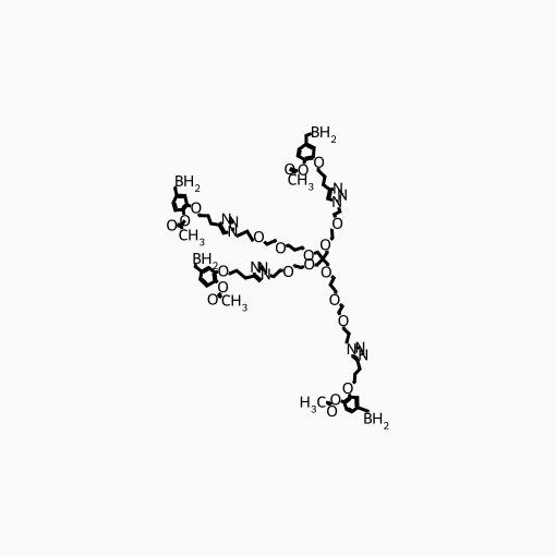 BCc1ccc(OC(C)=O)c(OCCCc2cn(CCCOCCOCCCOCC(COCCCOCCOCCCn3cc(CCCOc4cc(CB)ccc4OC(C)=O)nn3)(COCCOCCn3cc(CCCOc4cc(CB)ccc4OC(C)=O)nn3)COCCOCCn3cc(CCCOc4cc(CB)ccc4OC(C)=O)nn3)nn2)c1